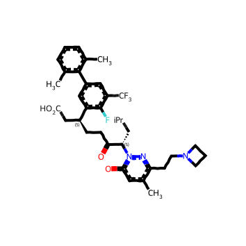 Cc1cc(=O)n([C@@H](CC(C)C)C(=O)CC[C@@H](CC(=O)O)c2cc(-c3c(C)cccc3C)cc(C(F)(F)F)c2F)nc1CCN1CCC1